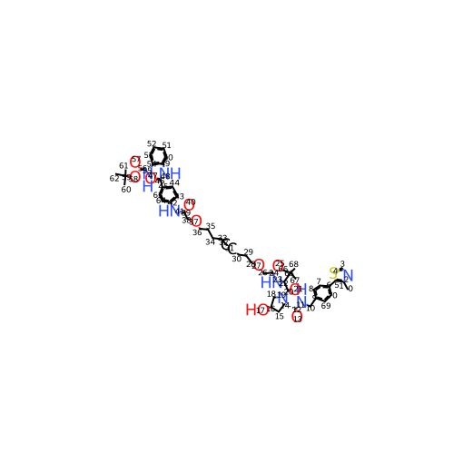 Cc1ncsc1-c1ccc(CNC(=O)[C@@H]2C[C@@H](O)CN2C(=O)[C@@H](NC(=O)COCCCCCCCCCOCC(=O)Nc2ccc(C(=O)Nc3ccccc3NC(=O)OC(C)(C)C)cc2)C(C)(C)C)cc1